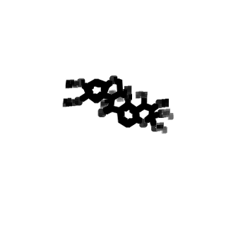 COc1cc2c(cc1OC)[C@@H]1C(=O)c3ccc4c(c3O[C@@H]1CO2)C([18F])C(O)C(C)(C)O4